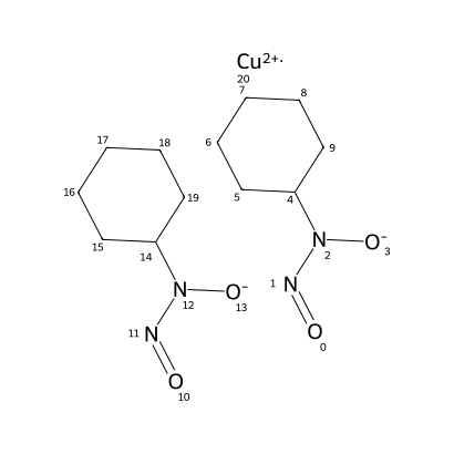 O=NN([O-])C1CCCCC1.O=NN([O-])C1CCCCC1.[Cu+2]